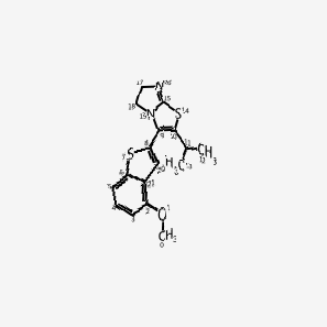 COc1cccc2sc(C3=C(C(C)C)SC4=NCCN43)cc12